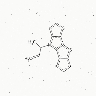 C=CC(C)n1c2ccsc2c2sc3ccsc3c21